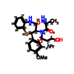 CCC[C@@H](CO)C(=O)N(C(=O)[C@H](C)N)[C@@H]1C(=O)Nc2ccccc2S[C@@H]1c1ccc(OC)cc1